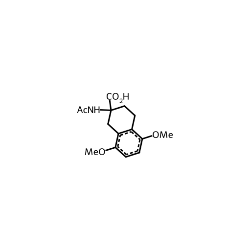 COc1ccc(OC)c2c1CCC(NC(C)=O)(C(=O)O)C2